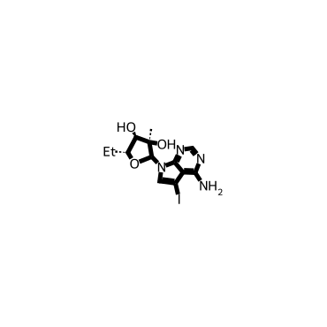 CC[C@H]1OC(n2cc(I)c3c(N)ncnc32)[C@](C)(O)[C@@H]1O